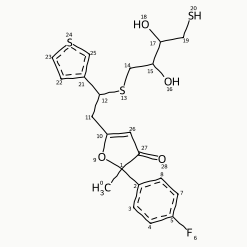 CC1(c2ccc(F)cc2)OC(CC(SCC(O)C(O)CS)c2ccsc2)=CC1=O